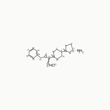 Cl.N[C@H]1CCN(C2CCN(C(=O)OCc3ccccc3)CC2)C1